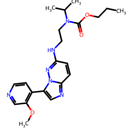 CCCOC(=O)N(CCNc1ccc2ncc(-c3ccncc3OC)n2n1)C(C)C